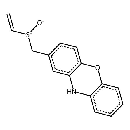 C=C[S+]([O-])Cc1ccc2c(c1)Nc1ccccc1O2